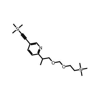 CC(COCOCC[Si](C)(C)C)c1ccc(C#C[Si](C)(C)C)cn1